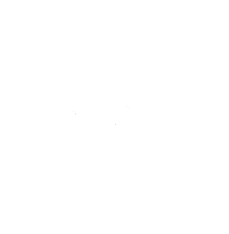 C1=CC2Oc3cc(-c4nc(-c5ccccc5)c5oc6ccc(-c7ccccc7)cc6c5n4)cc(-n4c5ccccc5c5cc6ccccc6cc54)c3C2C=C1